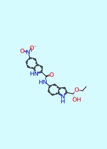 CCO[C@H](O)c1cc2cc(NC(=O)c3cc4cc([N+](=O)[O-])ccc4[nH]3)ccc2[nH]1